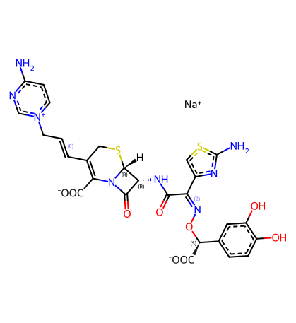 Nc1cc[n+](C/C=C/C2=C(C(=O)[O-])N3C(=O)[C@@H](NC(=O)/C(=N\O[C@H](C(=O)[O-])c4ccc(O)c(O)c4)c4csc(N)n4)[C@H]3SC2)cn1.[Na+]